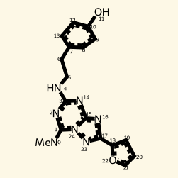 CNc1nc(NCCc2ccc(O)cc2)nc2nc(-c3ccco3)nn12